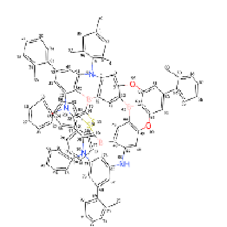 Cc1cc(C)c(N2c3cc4c(cc3B3c5sc6ccccc6c5N(c5ccccc5)c5cc(-c6ccccc6C)cc2c53)B2c3cc5c(cc3Oc3cc(-c6ccccc6C)cc(c32)O4)Nc2cc(-c3ccccc3C)cc3c2B5c2sc4ccccc4c2N3c2ccccc2)c(C)c1